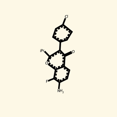 CC(C)c1oc2c(F)c(N)ccc2c(=O)c1-c1ccc(Cl)cc1